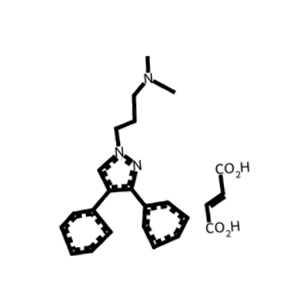 CN(C)CCCn1cc(-c2ccccc2)c(-c2ccccc2)n1.O=C(O)C=CC(=O)O